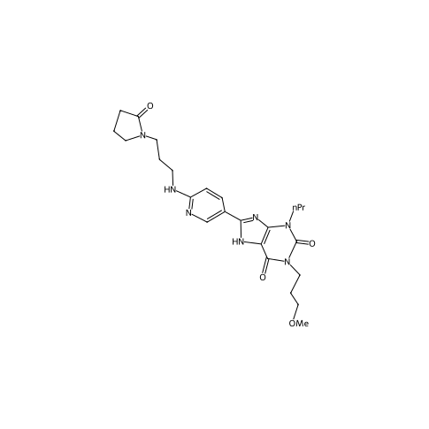 CCCn1c(=O)n(CCCOC)c(=O)c2[nH]c(-c3ccc(NCCCN4CCCC4=O)nc3)nc21